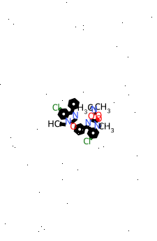 C#CCN1C(=O)CN=C(c2ccccc2)c2cc(Cl)ccc21.CN(C)C(=O)OC1N=C(c2ccccc2)c2cc(Cl)ccc2N(C)C1=O